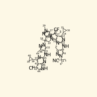 Cc1nn(C(C)(C)C#N)cc1Nc1nc(C2CC2)c2c(C(F)(F)F)cn(CC(C)(c3ncn(C)n3)n3cc(Nc4nc(C5CC5)c5c(Cl)c[nH]c5n4)c(C)n3)c2n1